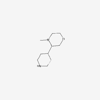 CN1CCOCC1C1CCNCC1